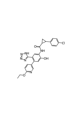 CCOc1ccc(-c2cc(O)c(NC(=O)C3CC3c3ccc(Cl)cc3)cc2-c2nnn[nH]2)cn1